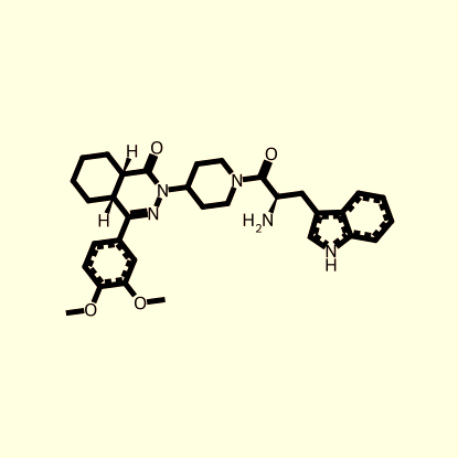 COc1ccc(C2=NN(C3CCN(C(=O)[C@H](N)Cc4c[nH]c5ccccc45)CC3)C(=O)[C@H]3CCCC[C@@H]23)cc1OC